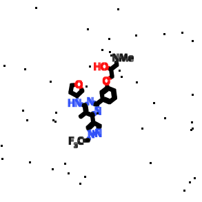 CNCC(O)COc1cccc(-c2nc(N[C@@H]3CCOC3)c(C)c(-c3cnn(CC(F)(F)F)c3)n2)c1